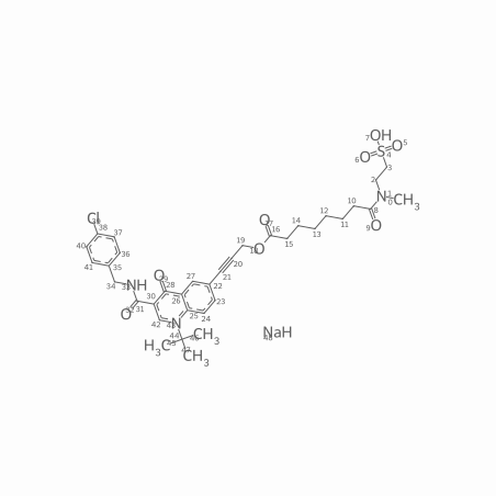 CN(CCS(=O)(=O)O)C(=O)CCCCCCC(=O)OCC#Cc1ccc2c(c1)c(=O)c(C(=O)NCc1ccc(Cl)cc1)cn2C(C)(C)C.[NaH]